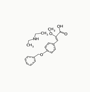 CCNCC.CO/C(=C\c1ccc(OCc2ccccc2)cc1)C(=O)O